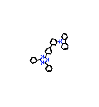 C1=CCC2C(=C1)c1ccccc1N2c1cccc(-c2ccc(-c3nc(-c4ccccc4)nc(-c4ccccc4)n3)cc2)c1